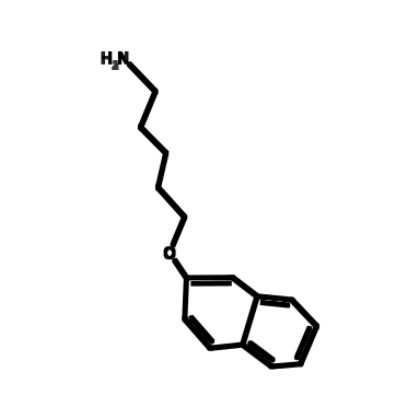 NCCCCCOc1ccc2ccccc2c1